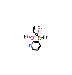 C=C[Si](OCC)(OCC)OCC.c1ccncc1